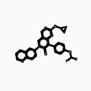 O=c1c(-c2ccc(OC(F)F)cc2)c2nc(OC3CC3)ncc2cn1-c1ccc2ncccc2c1